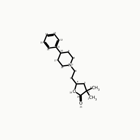 CC1(C)CC(CCN2CCC(c3ccccc3)CC2)OC1=O